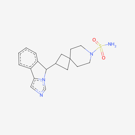 NS(=O)(=O)N1CCC2(CC1)CC(C1c3ccccc3-c3cncn31)C2